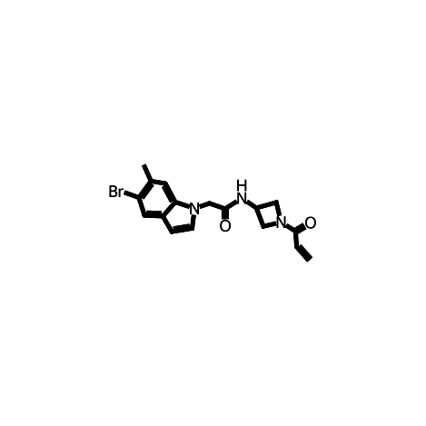 C=CC(=O)N1CC(NC(=O)Cn2ccc3cc(Br)c(C)cc32)C1